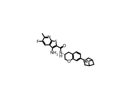 Cc1nc2sc(C(=O)N[C@H]3COc4cc(N5CC6CC(C5)N6)ccc4C3)c(N)c2cc1F